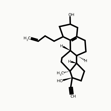 C#C[C@@]1(O)CC[C@H]2[C@@H]3CCC4=C(C(CCC=C)CC(O)C4)[C@H]3CC[C@@]21C